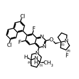 C[C@]12CC[C@H](CN(c3nc(OC[C@@]45CCCN4C[C@H](F)C5)nc4c(F)c(-c5cc(Cl)cc6ccc(Cl)cc56)c(F)cc34)C1)N2